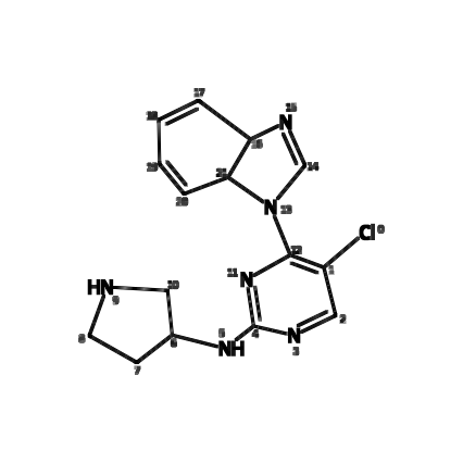 Clc1cnc(NC2CCNC2)nc1N1C=NC2C=CC=CC21